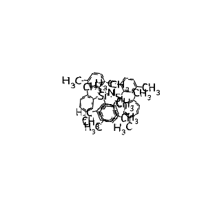 Cc1ccc(C)c([Si]([N][Si](c2cc(C)ccc2C)(c2cc(C)ccc2C)c2cc(C)ccc2C)(c2cc(C)ccc2C)c2cc(C)ccc2C)c1